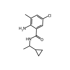 Cc1cc(Cl)cc(C(=O)NC(C)C2CC2)c1N